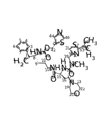 C=C(c1ccccc1)[C@@H](CCCNC(=O)[C@H](CCN1CCOCC1)NC(=O)N(C)Cc1csc(C(C)C)n1)NC(=O)OCc1cncs1